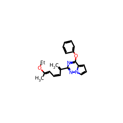 C=C(/C=C\C=C(/C)OCC)c1nc(Oc2ccccc2)c2cccn2n1